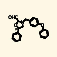 O=CC1O[C@H](c2ccccc2)CN1Cc1ccc(Oc2ccccc2)cc1